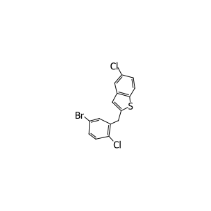 Clc1ccc2sc(Cc3cc(Br)ccc3Cl)cc2c1